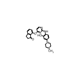 CN1CCN(c2ccc(Nc3nccc(Oc4cccc5c4C(=O)CC5)n3)c(O)c2)CC1